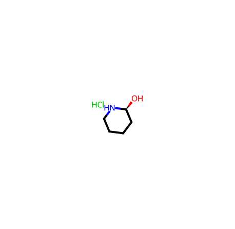 Cl.O[C@H]1CCCCN1